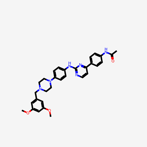 COc1cc(CN2CCN(c3ccc(Nc4nccc(-c5ccc(NC(C)=O)cc5)n4)cc3)CC2)cc(OC)c1